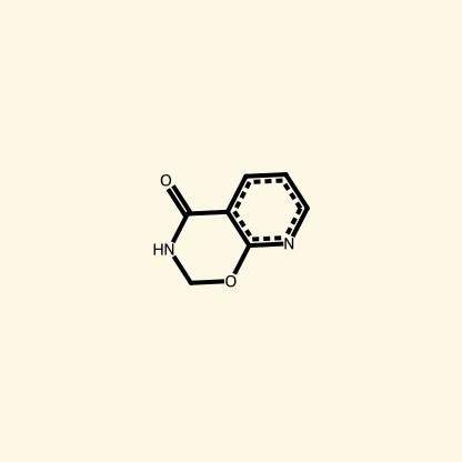 O=C1NCOc2ncccc21